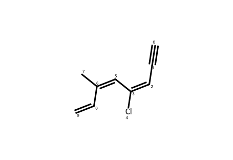 C#C/C=C(Cl)\C=C(\C)C=C